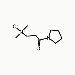 C[N+](C)([O-])CCC(=O)N1CCCC1